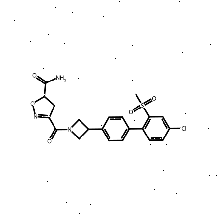 CS(=O)(=O)c1cc(Cl)ccc1-c1ccc(C2CN(C(=O)C3=NOC(C(N)=O)C3)C2)cc1